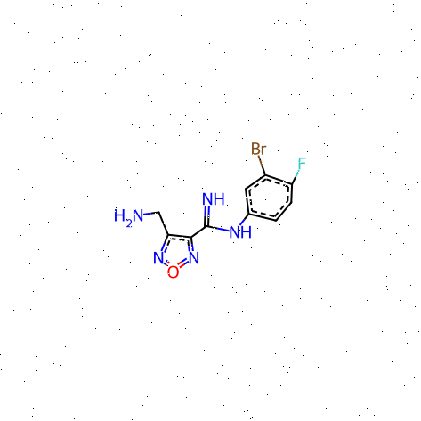 N=C(Nc1ccc(F)c(Br)c1)c1nonc1CN